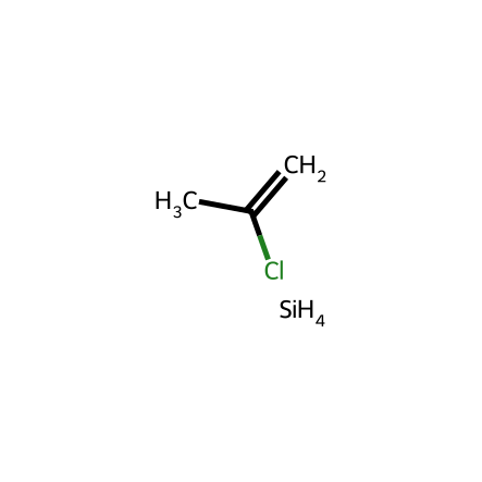 C=C(C)Cl.[SiH4]